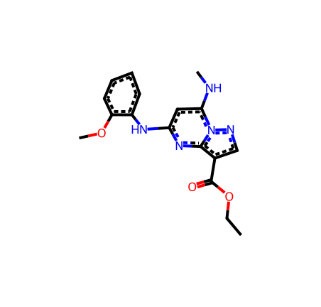 CCOC(=O)c1cnn2c(NC)cc(Nc3ccccc3OC)nc12